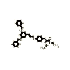 CCOC(=O)[C@H](Cc1ccc(OCC=Cc2cc(OCc3ccccc3)cc(OCc3ccccc3)c2)cc1)OCC